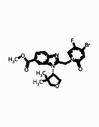 COC(=O)c1ccc2nc(Cn3cc(F)c(Br)cc3=O)n([C@@H]3COCC3(C)C)c2c1